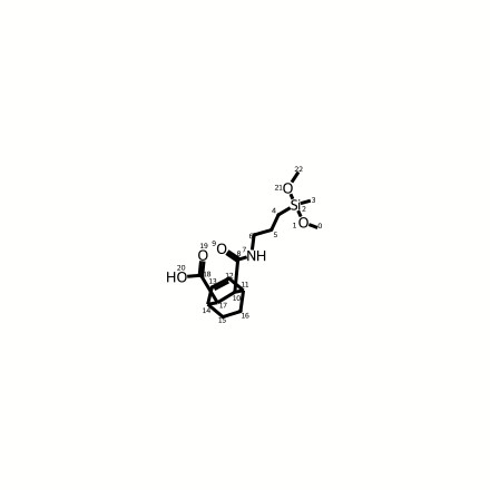 CO[Si](C)(CCCNC(=O)C1C2C=CC(CC2)C1C(=O)O)OC